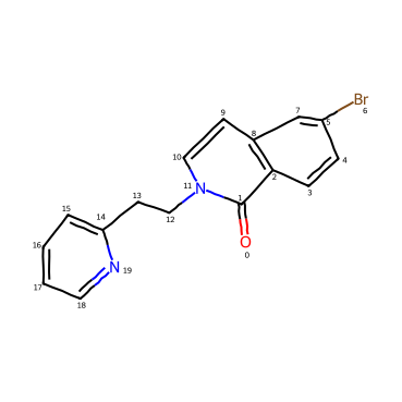 O=c1c2ccc(Br)cc2ccn1CCc1ccccn1